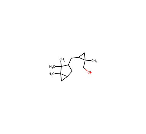 CC1(C)C(CC2C[C@]2(C)CO)CC2C[C@@]21C